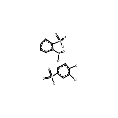 O=S(=O)(Cl)c1ccc(Cl)c(Cl)c1.O=[N+]([O-])c1ccccc1S(=O)(=O)Cl